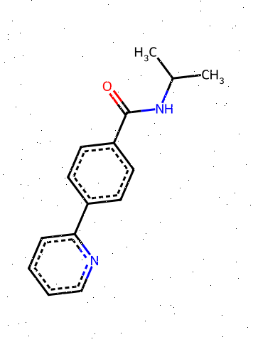 CC(C)NC(=O)c1ccc(-c2ccccn2)cc1